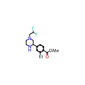 CCc1cc(C2CN(CC(F)F)CCN2)ccc1C(=O)OC